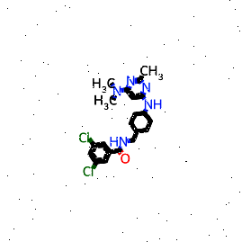 Cc1nc(NC2CCC(CNC(=O)c3cc(Cl)cc(Cl)c3)CC2)cc(N(C)C)n1